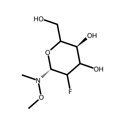 CON(C)[C@@H]1OC(CO)[C@@H](O)C(O)C1F